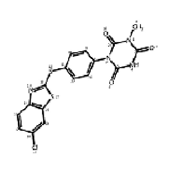 Cn1c(=O)[nH]c(=O)n(-c2ccc(Sc3nc4ccc(Cl)cc4s3)cc2)c1=O